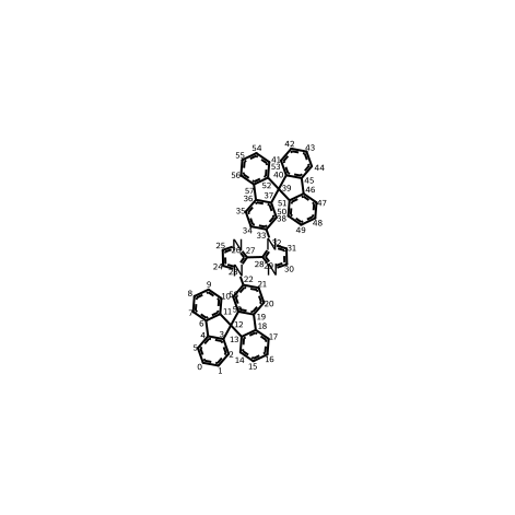 c1ccc2c(c1)-c1ccccc1C21c2ccccc2-c2ccc(-n3ccnc3-c3nccn3-c3ccc4c(c3)C3(c5ccccc5-c5ccccc53)c3ccccc3-4)cc21